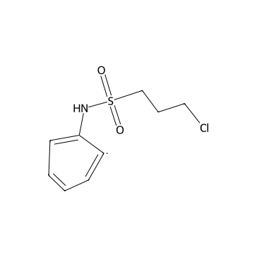 O=S(=O)(CCCCl)Nc1[c]cccc1